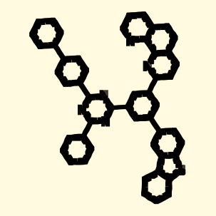 c1ccc(-c2ccc(-c3nc(-c4ccccc4)nc(-c4cc(-c5ccc6sc7ccccc7c6c5)cc(-c5ccc6ccc7cccnc7c6n5)c4)n3)cc2)cc1